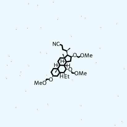 CC[C@H]1[C@@H](OCOC)[C@@H]2[C@H](CC[C@]3(C)[C@@H]([C@H](C)CCC#N)[C@@H](OCOC)C[C@@H]23)[C@@]2(C)CC[C@@H](OCOC)C[C@@H]12